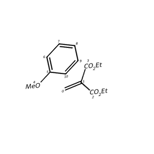 C=C(C(=O)OCC)C(=O)OCC.COc1ccccc1